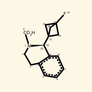 O=C(O)N1CCc2ccccc2[C@@H]1C12CC(F)(C1)C2